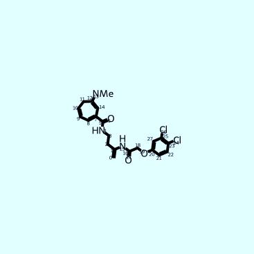 C=C(CCNC(=O)C1=CC=CCC(NC)=C1)NC(=O)COc1ccc(Cl)c(Cl)c1